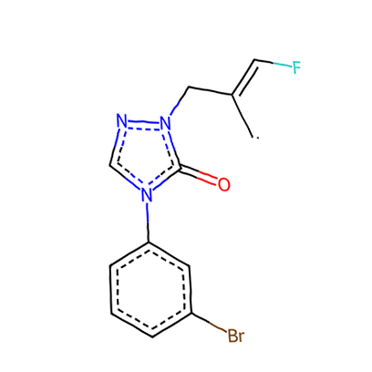 [CH2]/C(=C\F)Cn1ncn(-c2cccc(Br)c2)c1=O